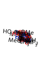 CCS(=O)(=O)c1cccnc1S(=O)(=O)NC(=O)Nc1nc(OC)cc(OC)n1.CCc1ccc(COc2ccc(-n3c(=O)cc(C(F)(F)F)n(C)c3=O)cc2)c(OC(C)C(=O)OC)c1.O=C(O)CNCP(=O)(O)O